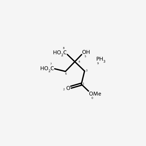 COC(=O)CC(O)(CC(=O)O)C(=O)O.P